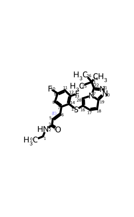 CCNC(=O)/C=C/c1cc(F)cc(F)c1Sc1ccc2nnc(C(C)(C)C)n2c1